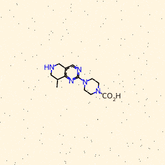 CC1CNCc2cnc(N3CCN(C(=O)O)CC3)nc21